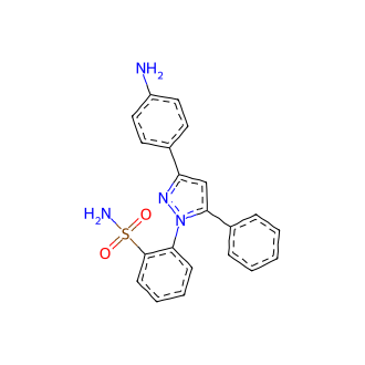 Nc1ccc(-c2cc(-c3ccccc3)n(-c3ccccc3S(N)(=O)=O)n2)cc1